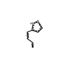 C=C/C=C\c1ccn[nH]1